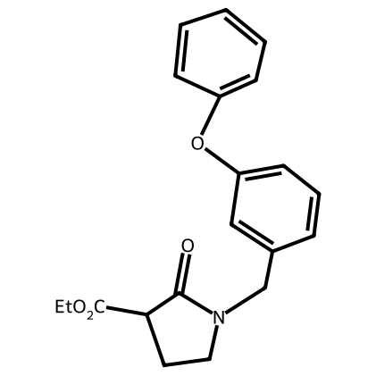 CCOC(=O)C1CCN(Cc2cccc(Oc3ccccc3)c2)C1=O